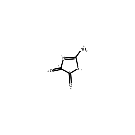 NC1=NC(=O)C(=O)S1